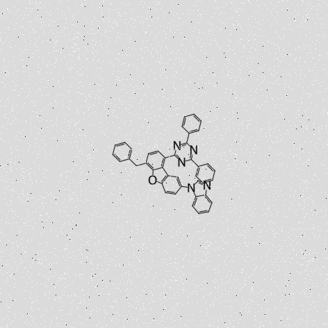 c1ccc(Cc2ccc(-c3nc(-c4ccccc4)nc(-c4ccccc4)n3)c3c2oc2ccc(-n4cnc5ccccc54)cc23)cc1